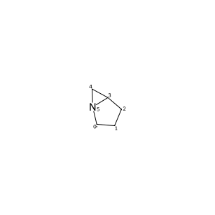 [CH]1CCC2CN12